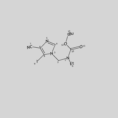 CCN(Cn1cnc(C#N)c1I)C(=O)OC(C)(C)C